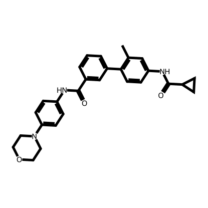 Cc1cc(NC(=O)C2CC2)ccc1-c1cccc(C(=O)Nc2ccc(N3CCOCC3)cc2)c1